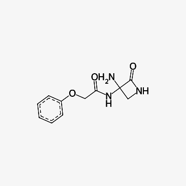 NC1(NC(=O)COc2ccccc2)CNC1=O